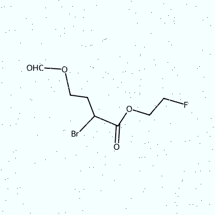 O=COCCC(Br)C(=O)OCCF